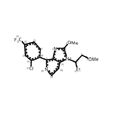 CCC(COC)n1c(OC)nc2c(-c3ccc(C(F)(F)F)cc3Cl)nccc21